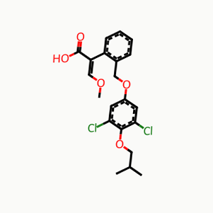 CO/C=C(/C(=O)O)c1ccccc1COc1cc(Cl)c(OCC(C)C)c(Cl)c1